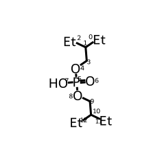 CCC(CC)COP(=O)(O)OCC(CC)CC